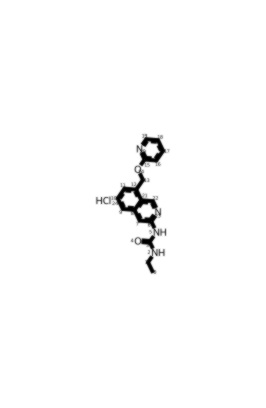 CCNC(=O)Nc1cc2cccc(COc3ccccn3)c2cn1.Cl